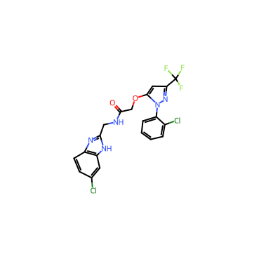 O=C(COc1cc(C(F)(F)F)nn1-c1ccccc1Cl)NCc1nc2ccc(Cl)cc2[nH]1